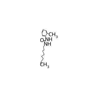 CCCCCCCCNC(=O)Nc1ccccc1C